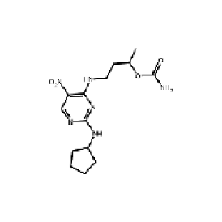 CC(CCNc1nc(NC2CCCC2)ncc1[N+](=O)[O-])OC(N)=O